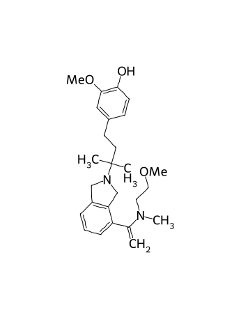 C=C(c1cccc2c1CN(C(C)(C)CCc1ccc(O)c(OC)c1)C2)N(C)CCOC